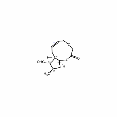 C[C@@H]1C[C@@H]2OC(=O)CCC/C=C\C[C@@H]2[C@H]1C=O